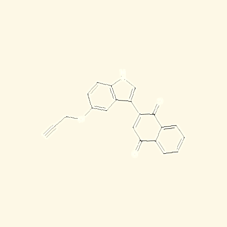 C#CCOc1ccc2[nH]cc(C3=CC(=O)c4ccccc4C3=O)c2c1